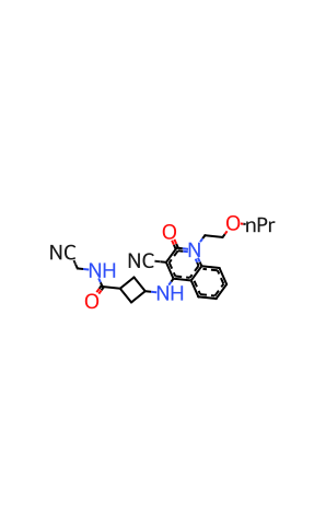 CCCOCCn1c(=O)c(C#N)c(NC2CC(C(=O)NCC#N)C2)c2ccccc21